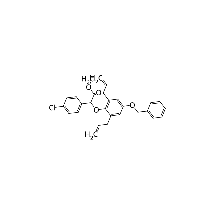 C=CCc1cc(OCc2ccccc2)cc(CC=C)c1OC(C(=O)OC)c1ccc(Cl)cc1